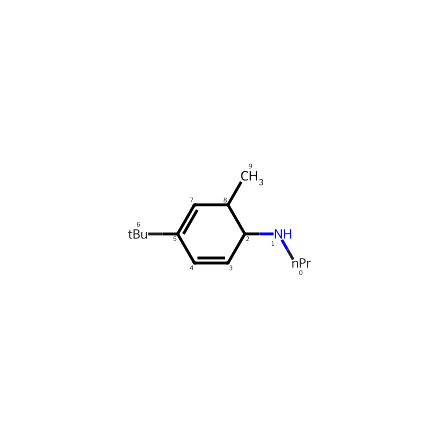 CCCNC1C=CC(C(C)(C)C)=CC1C